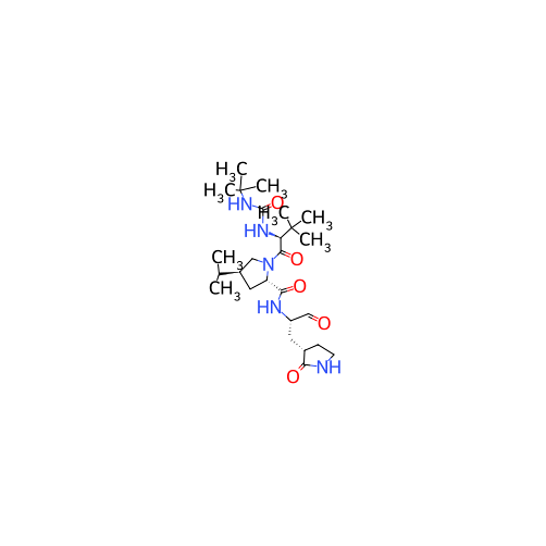 CC(C)[C@@H]1C[C@@H](C(=O)N[C@H](C=O)C[C@@H]2CCNC2=O)N(C(=O)[C@@H](NC(=O)NC(C)(C)C)C(C)(C)C)C1